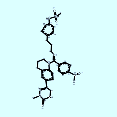 CN1N=C(c2ccc3c(c2)CCCN3/C(=N\CCCc2ccc(NS(C)(=O)=O)cc2)c2ccc([N+](=O)[O-])cc2)CSC1=O